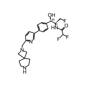 O=C(N[C@H](CF)[C@H](O)c1ccc(-c2ccc(CN3CC4(CCNCC4)C3)nc2)cc1)C(F)F